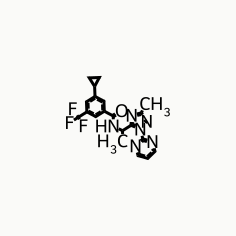 Cc1nc(C(C)NC(=O)c2cc(C3CC3)cc(C(F)(F)F)c2)n(-c2ncccn2)n1